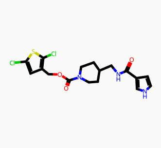 O=C(NCC1CCN(C(=O)OCc2cc(Cl)sc2Cl)CC1)c1cc[nH]c1